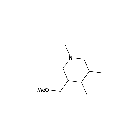 COCC1CN(C)CC(C)C1C